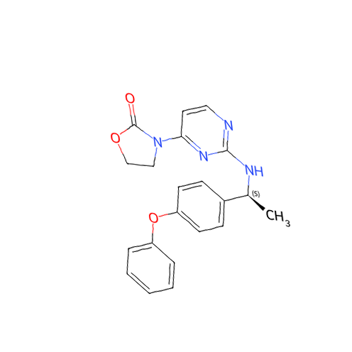 C[C@H](Nc1nccc(N2CCOC2=O)n1)c1ccc(Oc2ccccc2)cc1